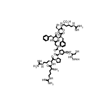 CC(C)C[C@H](NC(=O)[C@@H](Cc1ccccc1)NC(=O)[C@H](Cc1ccccc1)NC(=O)CNC(=O)[C@@H]1C[C@H](O)CN1C(=O)[C@@H]1CCCN1C(=O)[C@H](CCCNC(=N)N)NC(=O)C(N)CCCNC(=N)N)C(=O)N[C@@H](CCCNC(=N)N)C(=O)O.CCCCCCNC(CS)C(=O)O